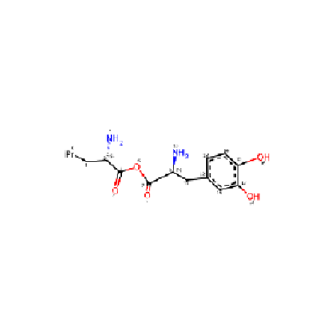 CC(C)C[C@H](N)C(=O)OC(=O)[C@@H](N)Cc1ccc(O)c(O)c1